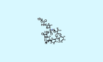 CC(C)(C)OC(=O)Nc1nc(/C(=N/OC2(C(=O)OC(c3ccccc3)c3ccccc3)CC2)C(=O)N[C@@H]2C(=O)N[C@@H]2CN=[N+]=[N-])cs1